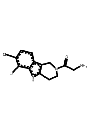 NCC(=O)N1CCc2[nH]c3c(Cl)c(Cl)ccc3c2C1